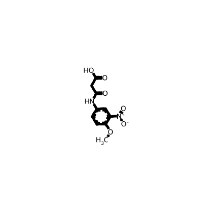 COc1ccc(NC(=O)CC(=O)O)cc1[N+](=O)[O-]